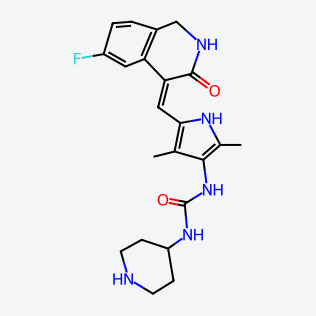 Cc1[nH]c(/C=C2\C(=O)NCc3ccc(F)cc32)c(C)c1NC(=O)NC1CCNCC1